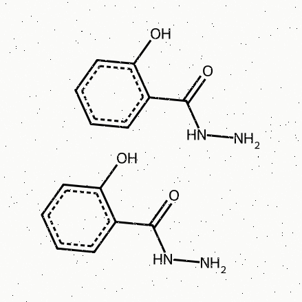 NNC(=O)c1ccccc1O.NNC(=O)c1ccccc1O